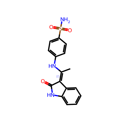 C/C(Nc1ccc(S(N)(=O)=O)cc1)=C1/C(=O)Nc2ccccc21